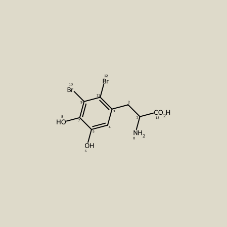 NC(Cc1cc(O)c(O)c(Br)c1Br)C(=O)O